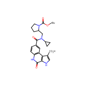 CC(C)(C)OC(=O)N1CCCC1CN(C(=O)c1ccc2[nH]c(=O)c3[nH]cc(C(=O)O)c3c2c1)C1CC1